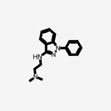 CN(C)CCNc1nn(-c2ccccc2)c2ccccc12